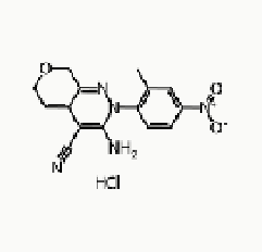 Cc1cc([N+](=O)[O-])ccc1N1N=C2COCC=C2C(C#N)=C1N.Cl